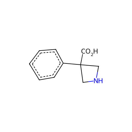 O=C(O)C1(c2ccccc2)CNC1